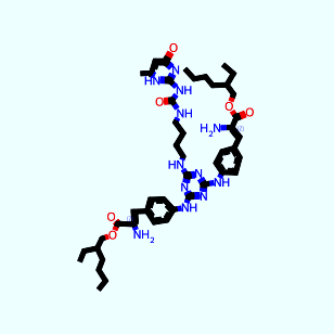 CCCCC(CC)COC(=O)/C(N)=C/c1ccc(Nc2nc(NCCCCNC(=O)Nc3nc(=O)cc(C)[nH]3)nc(Nc3ccc(/C=C(\N)C(=O)OCC(CC)CCCC)cc3)n2)cc1